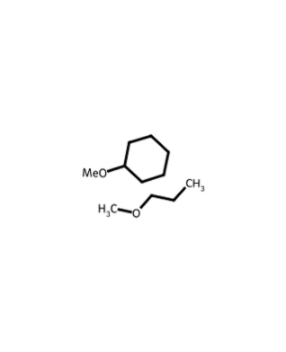 CCCOC.COC1CCCCC1